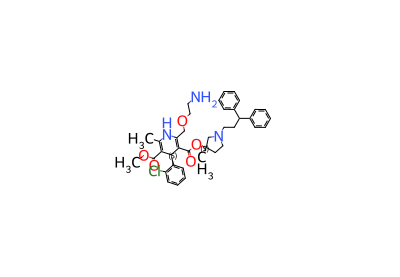 COC(=O)C1=C(C)NC(COCCN)=C(C(=O)O[C@@]2(C)CCN(CCC(c3ccccc3)c3ccccc3)C2)[C@H]1c1ccccc1Cl